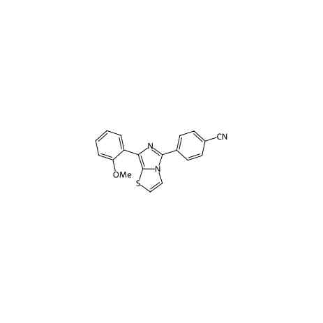 COc1ccccc1-c1nc(-c2ccc(C#N)cc2)n2ccsc12